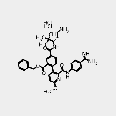 COc1ccc(-c2ccc(C(=O)N[C@@H](CCN)C(C)(C)C)cc2C(=O)OCc2ccccc2)c(C(=O)Nc2ccc(C(=N)N)cc2)n1.Cl.Cl